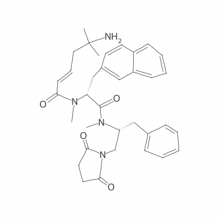 CN(C(=O)[C@@H](Cc1ccc2ccccc2c1)N(C)C(=O)/C=C/CC(C)(C)N)[C@H](Cc1ccccc1)CN1C(=O)CCC1=O